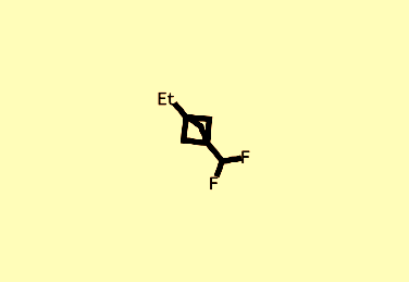 CCC12CC(C(F)F)(C1)C2